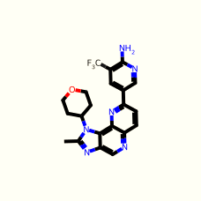 Cc1nc2cnc3ccc(-c4cnc(N)c(C(F)(F)F)c4)nc3c2n1C1CCOCC1